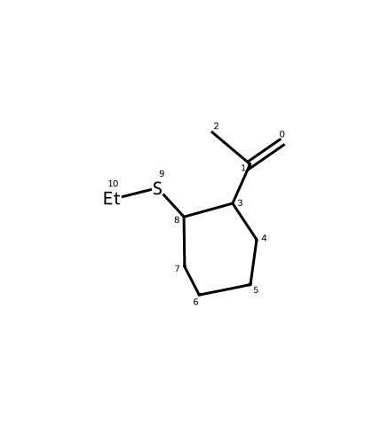 C=C(C)C1CCCCC1SCC